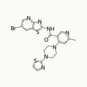 Cc1cc(N2CCN(c3nccs3)CC2)c(C(=O)Nc2nc3ncc(Br)cc3s2)cn1